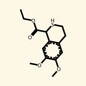 CCOC(=O)C1[SH]CCc2cc(OC)c(OC)cc21